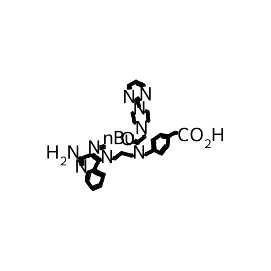 CCCCc1nc2c(N)nc3ccccc3c2n1CCCN(Cc1ccc(CC(=O)O)cc1)C(=O)CN1CCN(c2ncccn2)CC1